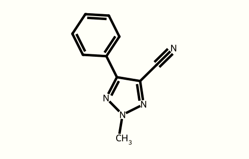 Cn1nc(C#N)c(-c2ccccc2)n1